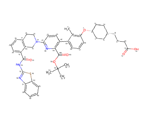 Cc1c(O[C@H]2CC[C@@H](CCCC(=O)O)CC2)cccc1-c1ccc(N2CCc3cccc(C(=O)Nc4nc5ccccc5s4)c3C2)nc1C(=O)OC(C)(C)C